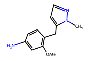 COc1cc(N)ccc1Cc1ccnn1C